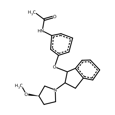 CO[C@@H]1CCN(C2Cc3ccccc3C2Oc2cccc(NC(C)=O)c2)C1